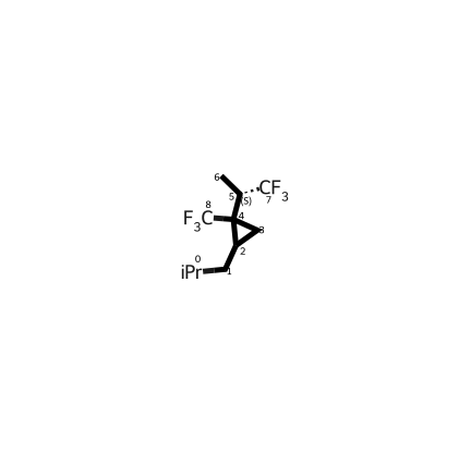 CC(C)CC1CC1([C@H](C)C(F)(F)F)C(F)(F)F